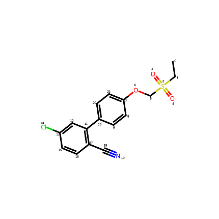 CCS(=O)(=O)COc1ccc(-c2cc(Cl)ccc2C#N)cc1